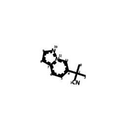 CC(C)(C#N)c1ccc2ccnn2c1